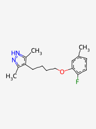 Cc1ccc(F)c(OCCCCc2c(C)n[nH]c2C)c1